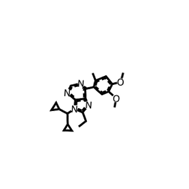 CCc1nc2c(-c3cc(OC)c(OC)cc3C)ncnc2n1C(C1CC1)C1CC1